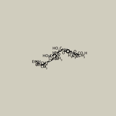 CCNC(=O)CNC(C)(C)C(=O)COCCOCCNC(C)(C)C(=O)C(CCC(=O)O)NC(=O)CCC(NC(=O)C1CCC(CNC(=O)C(C)(S)CC(C)(C)C(=O)O)CC1)C(=O)O